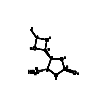 CC1OC([C@H]2OS(=O)O[C@@H]2C(=O)O)O1